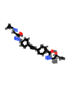 CC[C@H](NC(=O)c1ccc(C#Cc2ccc(NC(=O)CNC3CC3)cc2)cc1)C(=O)OC